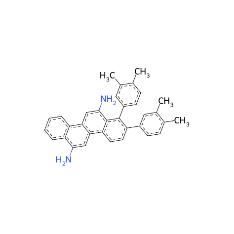 Cc1ccc(-c2ccc3c(c(N)cc4c5ccccc5c(N)cc34)c2-c2ccc(C)c(C)c2)cc1C